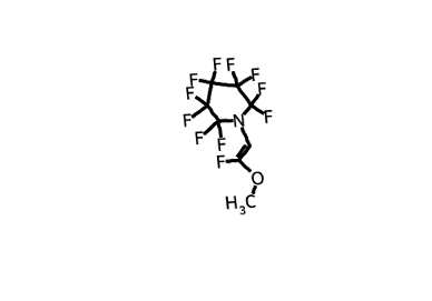 COC(F)=CN1C(F)(F)C(F)(F)C(F)(F)C(F)(F)C1(F)F